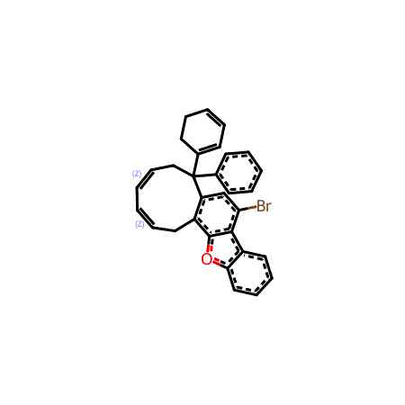 Brc1cc2c(c3oc4ccccc4c13)C/C=C\C=C/CC2(C1=CC=CCC1)c1ccccc1